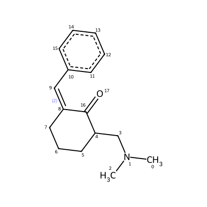 CN(C)CC1CCC/C(=C/c2ccccc2)C1=O